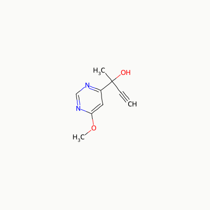 C#CC(C)(O)c1cc(OC)ncn1